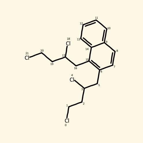 ClCCC(Cl)Cc1ccc2ccccc2c1CC(Cl)CCCl